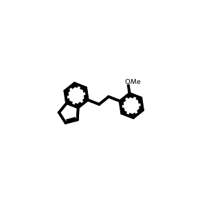 COc1ccccc1CCc1cccc2c1C=CC2